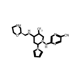 N#Cc1cnc(NN2CC(C(F)(F)F)C(NC[C@@H]3CNCCO3)CC2n2cccc2)cn1